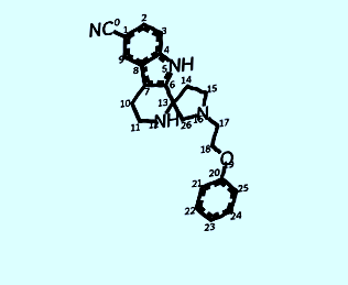 N#Cc1ccc2[nH]c3c(c2c1)CCNC31CCN(CCOc2ccccc2)C1